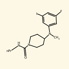 CCCNC(=O)N1CCC(N(C)c2cc(F)cc(I)c2)CC1